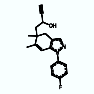 C#CC(O)CC1(C)Cc2cnn(-c3ccc(F)cc3)c2C=C1C